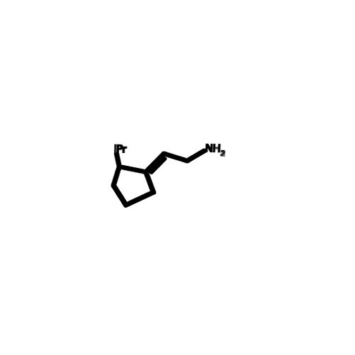 CC(C)C1CCC/C1=C\CN